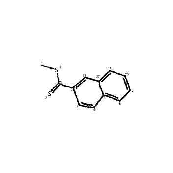 CSC(=S)c1ccc2ccccc2c1